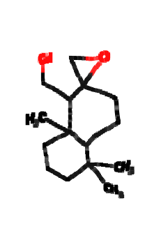 CC1(C)CCCC2(C)C1CCC1(CO1)C2CO